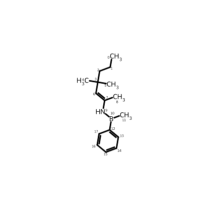 CCCC(C)(C)/C=C(\C)NB(C)c1ccccc1